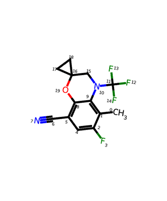 Cc1c(F)cc(C#N)c2c1N(C(F)(F)F)CC1(CC1)O2